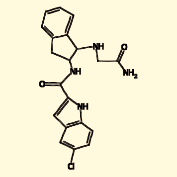 NC(=O)CNC1c2ccccc2CC1NC(=O)c1cc2cc(Cl)ccc2[nH]1